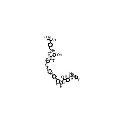 C/C(N)=C(/S)c1ccc(CNC(=O)[C@@H]2C[C@@H](O)CN2C(=O)[C@H](c2cc(OCCN3CCN(c4ccc(-c5cnc6[nH]cc(C(=O)c7c(F)ccc(NS(=O)(=O)N8CC[C@@H](F)C8)c7F)c6c5)cc4)CC3)no2)C(C)C)cc1